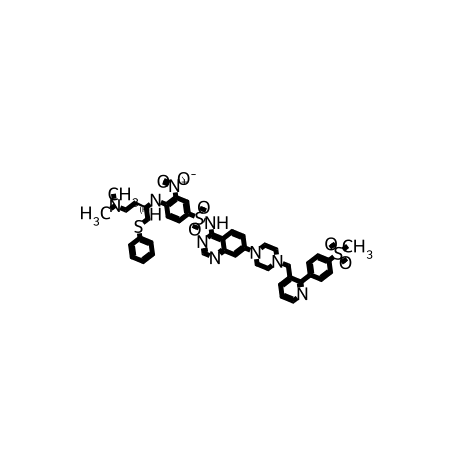 CN(C)CC[C@H](CSc1ccccc1)Nc1ccc(S(=O)(=O)Nc2ncnc3cc(N4CCN(Cc5cccnc5-c5ccc(S(C)(=O)=O)cc5)CC4)ccc23)cc1[N+](=O)[O-]